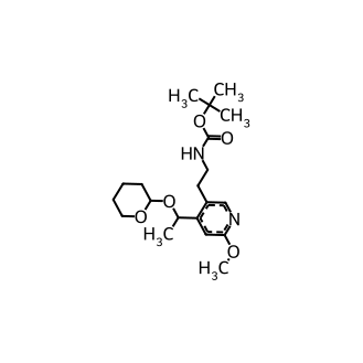 COc1cc(C(C)OC2CCCCO2)c(CCNC(=O)OC(C)(C)C)cn1